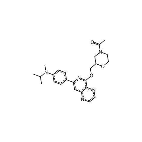 CC(=O)N1CCOC(COc2nc(-c3ccc(N(C)C(C)C)cc3)cc3nccnc23)C1